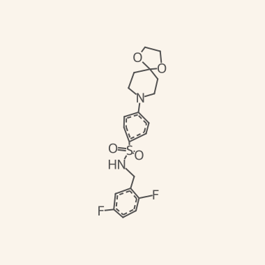 O=S(=O)(NCc1cc(F)ccc1F)c1ccc(N2CCC3(CC2)OCCO3)cc1